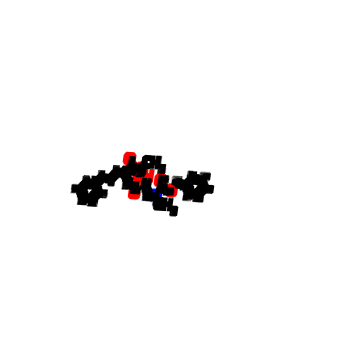 COC(=O)C(CCCc1ccccc1)CP(=O)(O)CCN(C)C(=O)OCc1ccccc1